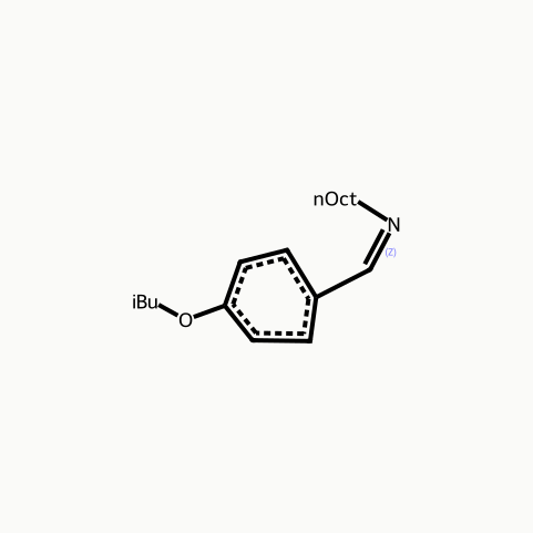 CCCCCCCC/N=C\c1ccc(OC(C)CC)cc1